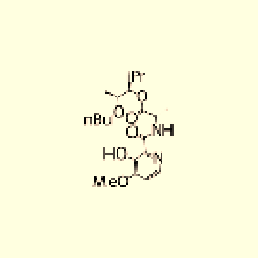 CCCCO[C@@H](C)[C@H](OC(=O)[C@H](C)NC(=O)c1nccc(OC)c1O)C(C)C